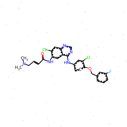 CN(C)C/C=C/C(=O)Nc1cc2c(Nc3ccc(OCc4cccc(F)c4)c(Cl)c3)ncnc2cc1Cl